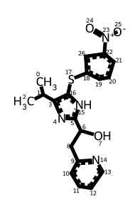 CC(C)c1nc(C(O)Cc2ccccn2)[nH]c1Sc1cccc([N+](=O)[O-])c1